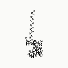 CCCCCCCCCCCCCCCC(CC)NC(=O)OC(C(C)OC)n1ccc(=O)n(Cc2ccccn2)c1=O